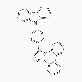 c1ccc2c(c1)c1ccccc1n1c(-c3ccc(-n4c5ccccc5c5ccccc54)cc3)cnc21